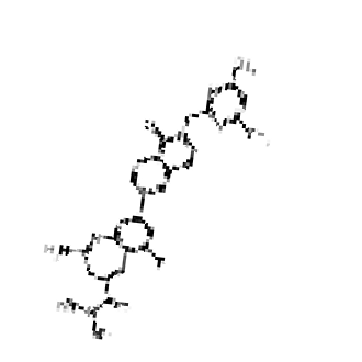 CCCN(CCC)C(=O)C1=Cc2c(F)cc(-c3ccc4c(=O)n(Cc5nc(C)cc(C)n5)ccc4c3)cc2N=C(N)C1